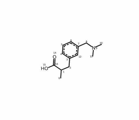 CC(Cc1cccc(CN(C)C)c1)C(=O)O